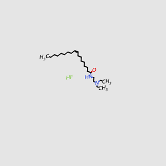 CCCCCCCC/C=C\CCCCCCCC(=O)NCCN(CC)CC.F